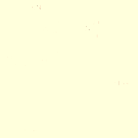 CCCCCCCCCCCCCCCCCC(=O)OCC(COP(=O)(OCCC#N)OCC[N+](CC)(CC)CC)OC(=O)CCCCCCCCCCCCCCCCC.[Cl-]